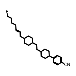 N#Cc1ccc(C2CCC(CCC3CCC(CC=CCCCCF)CC3)CC2)cc1